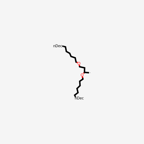 [CH2]C(CCOCCCCCCCCCCCCCCCC)OCCCCCCCCCCCCCCCC